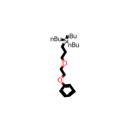 CCCC[Si](CCCC)(CCCC)CCCOCCOc1ccccc1